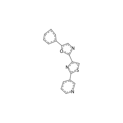 c1ccc(-c2cnc(-c3csc(-c4cccnc4)n3)o2)cc1